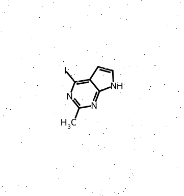 Cc1nc(I)c2cc[nH]c2n1